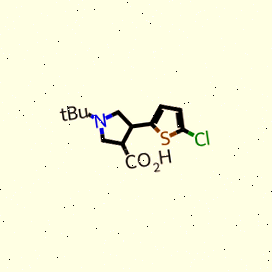 CC(C)(C)N1CC(C(=O)O)C(c2ccc(Cl)s2)C1